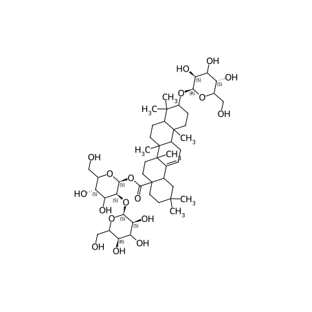 CC1(C)CCC2(C(=O)O[C@@H]3OC(CO)[C@@H](O)C(O)[C@@H]3O[C@@H]3OC(CO)[C@H](O)C(O)[C@@H]3O)CCC3(C)C(=CCC4C5(C)CCC(O[C@@H]6OC(CO)[C@@H](O)C(O)[C@@H]6O)C(C)(C)C5CCC43C)C2C1